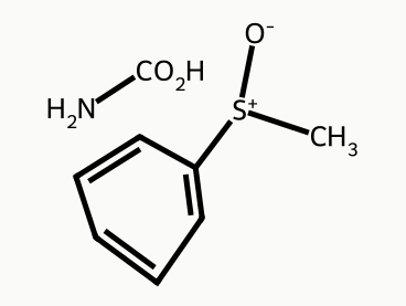 C[S+]([O-])c1ccccc1.NC(=O)O